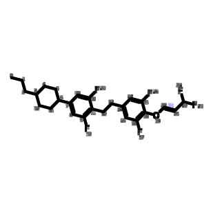 CCCC1CCC(c2cc(F)c(CCc3cc(F)c(O/C=C/C(F)F)c(F)c3)c(F)c2)CC1